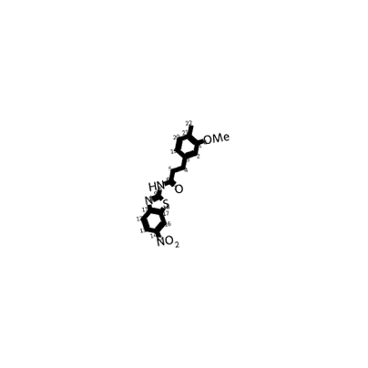 COc1cc(CCC(=O)Nc2nc3ccc([N+](=O)[O-])cc3s2)ccc1C